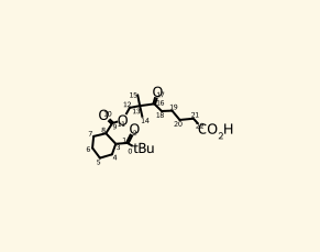 CC(C)(C)C(=O)C1CCCCC1C(=O)OCC(C)(C)C(=O)CCCCC(=O)O